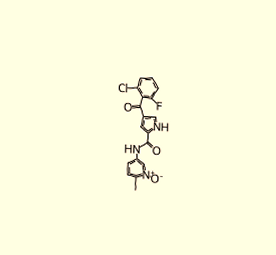 Cc1ccc(NC(=O)c2cc(C(=O)c3c(F)cccc3Cl)c[nH]2)c[n+]1[O-]